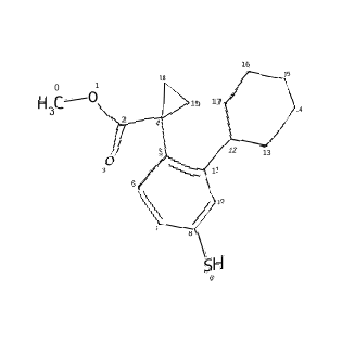 COC(=O)C1(c2ccc(S)cc2C2CCCCC2)CC1